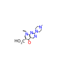 C=Cn1cc(C(=O)O)c(=O)c2cnc(N3CCN(C)CC3)nc21